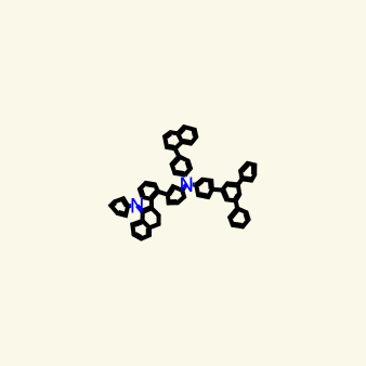 C1=CC(c2cccc3c2c2c(n3-c3ccccc3)-c3ccccc3CC2)=CC(N(c2ccc(-c3cc(-c4ccccc4)cc(-c4ccccc4)c3)cc2)c2ccc(-c3cccc4ccccc34)cc2)C1